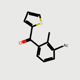 CC(=O)c1cccc(C(=O)c2cccs2)c1C